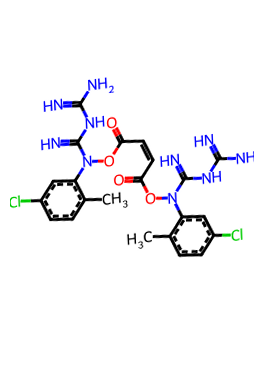 Cc1ccc(Cl)cc1N(OC(=O)/C=C\C(=O)ON(C(=N)NC(=N)N)c1cc(Cl)ccc1C)C(=N)NC(=N)N